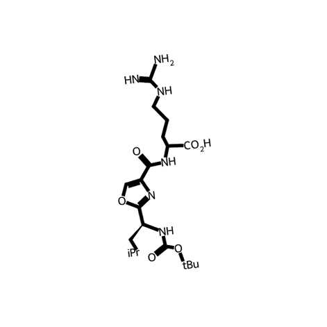 CC(C)C[C@H](NC(=O)OC(C)(C)C)c1nc(C(=O)NC(CCCNC(=N)N)C(=O)O)co1